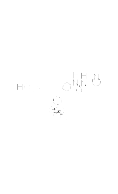 O=C(NCc1cccnc1)Nc1ccc(C(CCCCS(=O)(=O)O)c2ccc(S(=O)(=O)C(F)(F)F)cc2)cc1